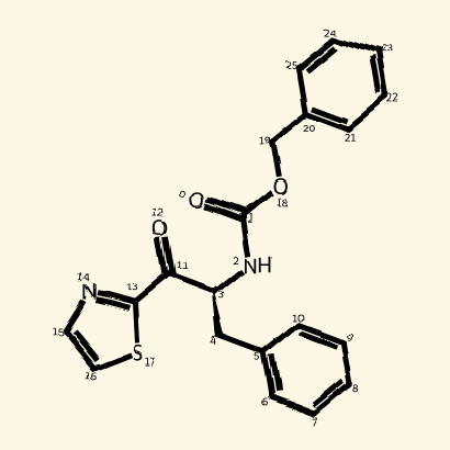 O=C(N[C@@H](Cc1ccccc1)C(=O)c1nccs1)OCc1ccccc1